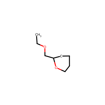 C[CH]OCC1CCCCO1